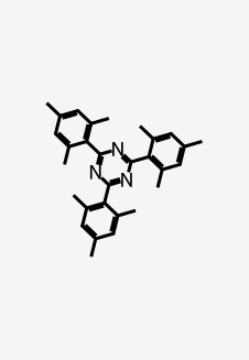 Cc1cc(C)c(-c2nc(-c3c(C)cc(C)cc3C)nc(-c3c(C)cc(C)cc3C)n2)c(C)c1